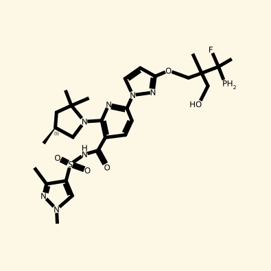 Cc1nn(C)cc1S(=O)(=O)NC(=O)c1ccc(-n2ccc(OCC(C)(CO)C(C)(F)P)n2)nc1N1C[C@@H](C)CC1(C)C